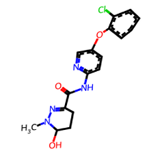 CN1N=C(C(=O)Nc2ccc(Oc3ccccc3Cl)cn2)CCC1O